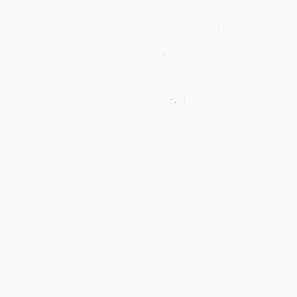 CCCCCCCCC/C=C(\C)C(=O)NC(CCC(=O)O)C(=O)O